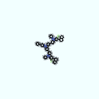 Fc1cccc2cccc(-c3ccc4c(c3)c3ccc(-c5ccc6c(c5)c5cc(-c7ccc8c9cc(-c%10cccc%11cccc(F)c%10%11)ccc9n(-c9ccccc9)c8c7)ccc5n6-c5ccc(-c6ccccc6)cc5)cc3n4-c3ccccc3)c12